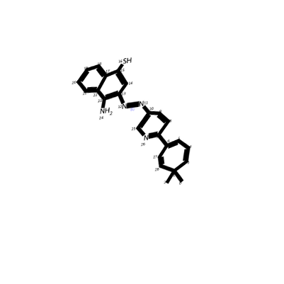 CC1(C)C=CC=C(c2ccc(/N=N/c3cc(S)c4ccccc4c3N)cn2)C=C1